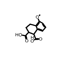 COc1cccc2c1CCC(C(=O)O)C2C(=O)O